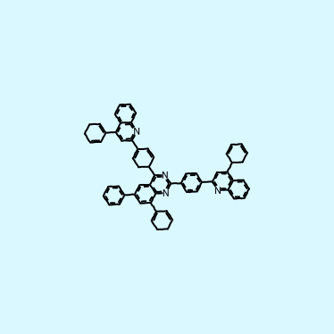 C1=CCC(c2cc(-c3ccc(-c4nc(C5C=CC(c6cc(C7=CCCC=C7)c7ccccc7n6)=CC5)c5cc(-c6ccccc6)cc(C6=CCCC=C6)c5n4)cc3)nc3ccccc23)C=C1